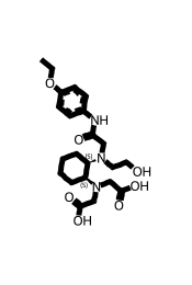 CCOc1ccc(NC(=O)CN(CCO)[C@H]2CCCC[C@@H]2N(CC(=O)O)CC(=O)O)cc1